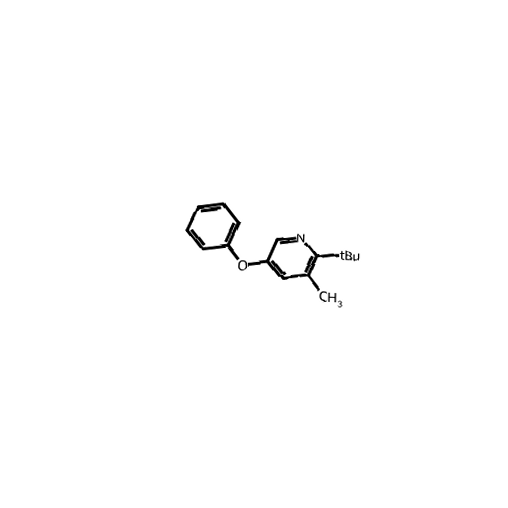 Cc1cc(Oc2ccccc2)cnc1C(C)(C)C